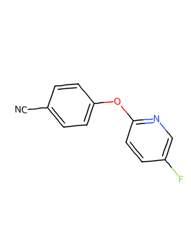 N#Cc1ccc(Oc2ccc(F)cn2)cc1